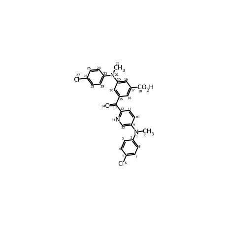 CN(c1ccc(Cl)cc1)c1ccc(C(=O)c2cc(C(=O)O)cc(N(C)c3ccc(Cl)cc3)c2)nc1